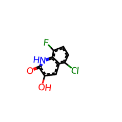 O=c1[nH]c2c(F)ccc(Cl)c2cc1O